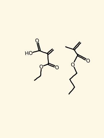 C=C(C(=O)O)C(=O)OCC.C=C(C)C(=O)OCCCC